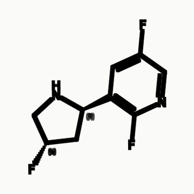 Fc1cnc(F)c([C@H]2C[C@H](F)CN2)c1